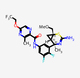 COC[C@]12C[C@H]1[C@](C)(c1cc(NC(=O)c3ncc(OCC(F)(F)F)nc3C)cc(F)c1F)N=C(N)S2